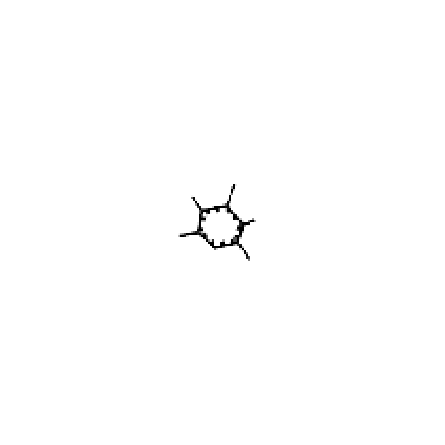 Cc1cc(O)c(I)c(C)c1C=O